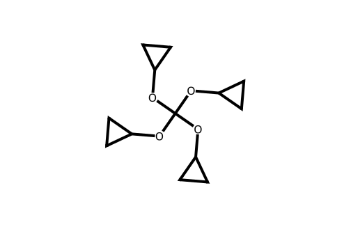 C1CC1OC(OC1CC1)(OC1CC1)OC1CC1